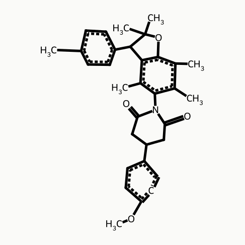 COc1ccc(C2CC(=O)N(c3c(C)c(C)c4c(c3C)C(c3ccc(C)cc3)C(C)(C)O4)C(=O)C2)cc1